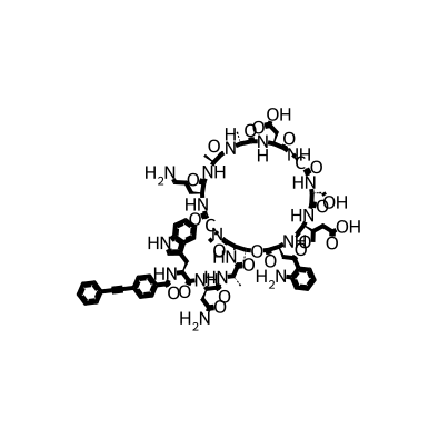 CC(CC(=O)O)[C@@H]1NC(=O)[C@@H](CO)NC(=O)CNC(=O)[C@H](CC(=O)O)NC(=O)[C@@H](C)NC(=O)[C@H](C)NC(=O)[C@H](CCCN)NC(=O)CN(C)C(=O)[C@@H](NC(=O)[C@H](C)NC(=O)[C@@H](CC(N)=O)NC(=O)[C@H](Cc2c[nH]c3ccccc23)NC(=O)c2ccc(C#Cc3ccccc3)cc2)[C@@H](C)OC(=O)[C@H](CC(=O)c2ccccc2N)NC1=O